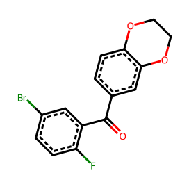 O=C(c1ccc2c(c1)OCCO2)c1cc(Br)ccc1F